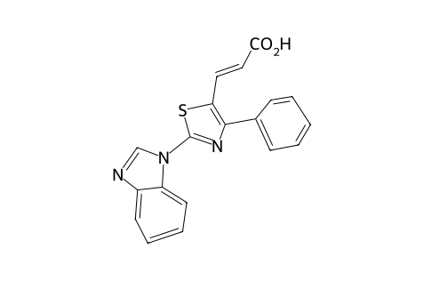 O=C(O)/C=C/c1sc(-n2cnc3ccccc32)nc1-c1ccccc1